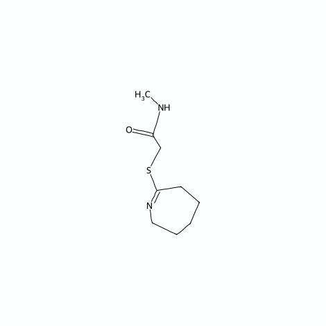 CNC(=O)CSC1=NCCCCC1